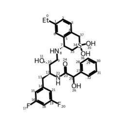 CCc1ccc2c(c1)[C@@H](NC[C@@H](O)[C@H](Cc1cc(F)cc(F)c1)NC(=O)C(O)c1ccccc1)CS(O)(O)C2